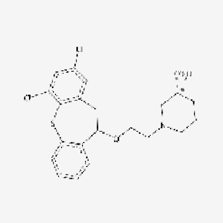 O=C(O)[C@@H]1CCCN(CCOC2Cc3cc(Cl)cc(Cl)c3Sc3ccccc32)C1